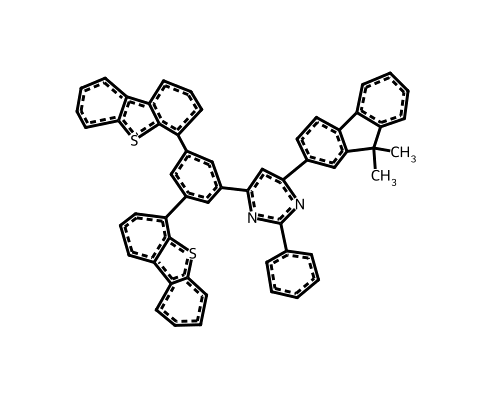 CC1(C)c2ccccc2-c2ccc(-c3cc(-c4cc(-c5cccc6c5sc5ccccc56)cc(-c5cccc6c5sc5ccccc56)c4)nc(-c4ccccc4)n3)cc21